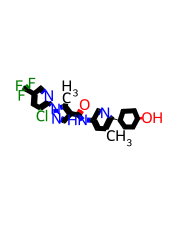 Cc1cc(NC(=O)c2cnn(-c3ncc(C(F)(F)F)cc3Cl)c2C)cnc1[C@H]1CC[C@H](O)CC1